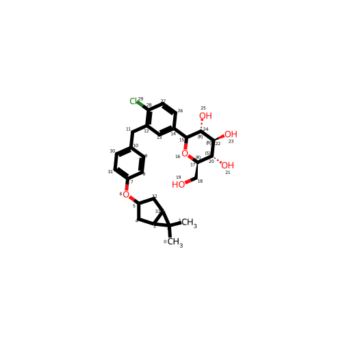 CC1(C)C2CC(Oc3ccc(Cc4cc(C5O[C@H](CO)[C@@H](O)[C@H](O)[C@H]5O)ccc4Cl)cc3)CC21